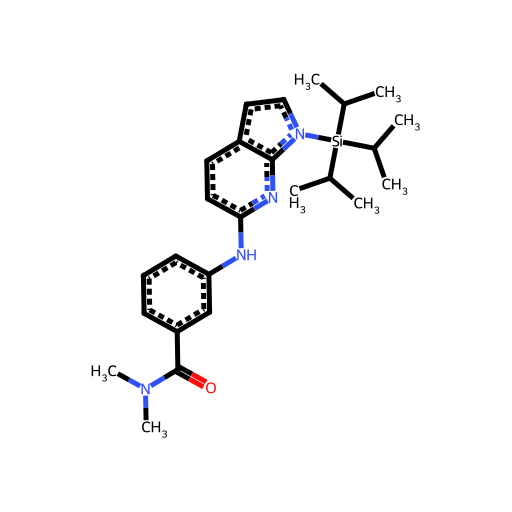 CC(C)[Si](C(C)C)(C(C)C)n1ccc2ccc(Nc3cccc(C(=O)N(C)C)c3)nc21